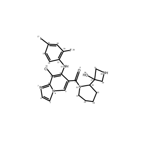 O=C(c1cn2ccnc2c(Cl)c1Nc1ccc(I)cc1F)N1CCCCC1C1(O)CNC1